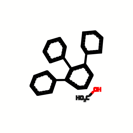 O=C(O)O.c1ccc(-c2cccc(-c3ccccc3)c2-c2ccccc2)cc1